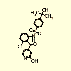 CC(C)(C)c1ccc(S(=O)(=O)Nc2cccc(Cl)c2C(=O)c2ccnc(O)c2)cc1